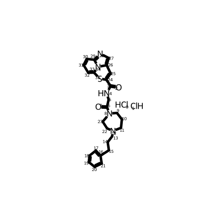 Cl.Cl.O=C(NCC(=O)N1CCCN(CCCc2ccccc2)CC1)C1=Cc2cnc3cccc(n23)S1